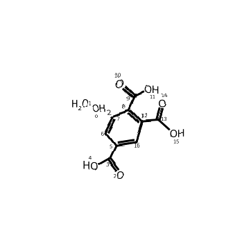 O.O.O=C(O)c1ccc(C(=O)O)c(C(=O)O)c1